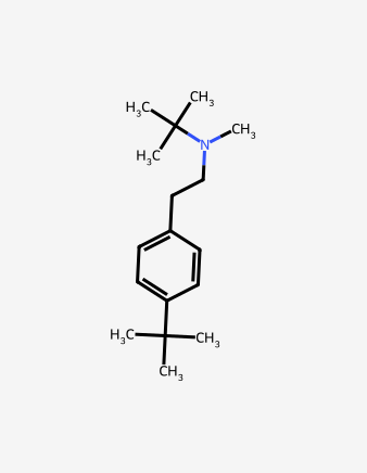 CN(CCc1ccc(C(C)(C)C)cc1)C(C)(C)C